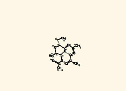 CC(=O)O[C@H]1[C@H](OC(C)=O)[C@@H](OC(C)=O)C(O)O[C@@H]1CO